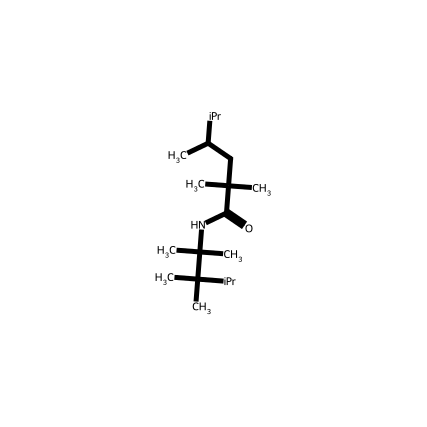 CC(C)C(C)CC(C)(C)C(=O)NC(C)(C)C(C)(C)C(C)C